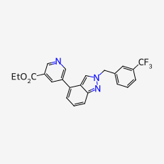 CCOC(=O)c1cncc(-c2cccc3nn(Cc4cccc(C(F)(F)F)c4)cc23)c1